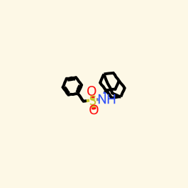 O=S(=O)(Cc1ccccc1)NC12CC3CC(CC(C3)C1)C2